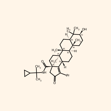 CC(C)C1=C2[C@H]3CC[C@@H]4[C@@]5(C)CC[C@H](O)C(C)(C)[C@@H]5CC[C@@]4(C)[C@]3(C)CC[C@@]2(C(=O)NC(C)(C)C2CC2)CC1=O